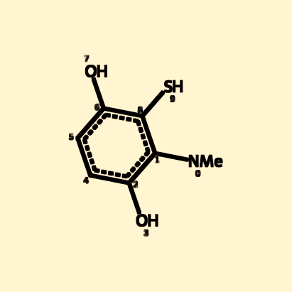 CNc1c(O)ccc(O)c1S